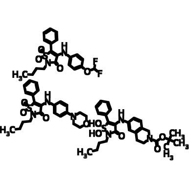 CCCCN1C(=O)C(Nc2ccc(N3CCOCC3)cc2)=C(c2ccccc2)S1(=O)=O.CCCCN1C(=O)C(Nc2ccc(OC(F)F)cc2)=C(c2ccccc2)S1(=O)=O.CCCCN1C(=O)C(Nc2ccc3c(c2)CCN(C(=O)OC(C)(C)C)C3)=C(c2ccccc2)S1(O)O